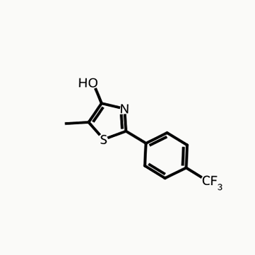 Cc1sc(-c2ccc(C(F)(F)F)cc2)nc1O